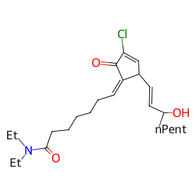 CCCCCC(O)C=CC1C=C(Cl)C(=O)C1=CCCCCCC(=O)N(CC)CC